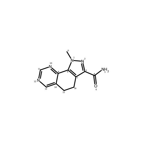 Cn1nc(C(N)=O)c2c1-c1ncncc1CC2